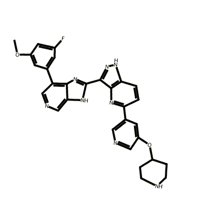 COc1cc(F)cc(-c2cncc3[nH]c(-c4n[nH]c5ccc(-c6cncc(OC7CCNCC7)c6)nc45)nc23)c1